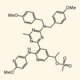 COc1ccc(CN(Cc2ccc(OC)cc2)c2nc(C)nc(-c3cc(C(C)OS(C)(=O)=O)cnc3Nc3ccc(OC)nc3)n2)cc1